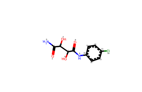 NC(=O)C(O)C(O)C(=O)Nc1ccc(Cl)cc1